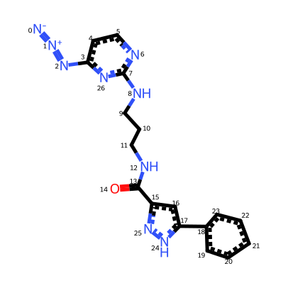 [N-]=[N+]=Nc1ccnc(NCCCNC(=O)c2cc(-c3ccccc3)[nH]n2)n1